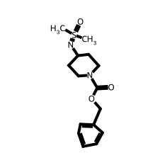 CS(C)(=O)=NC1CCN(C(=O)OCc2ccccc2)CC1